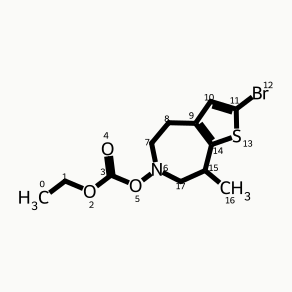 CCOC(=O)ON1CCc2cc(Br)sc2C(C)C1